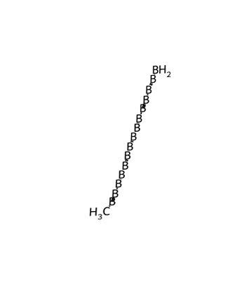 BB=BB=BB=BB=BB=BB=BB=BC